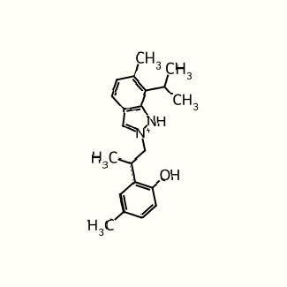 Cc1ccc(O)c(C(C)C[n+]2cc3ccc(C)c(C(C)C)c3[nH]2)c1